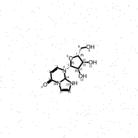 O=C1C=CN([C@@H]2O[C@H](CO)[C@@H](O)[C@H]2O)C2NC=CN12